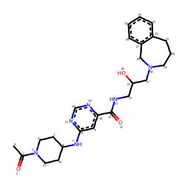 CC(=O)N1CCC(Nc2cc(C(=O)NCC(O)CN3CCCc4ccccc4C3)ncn2)CC1